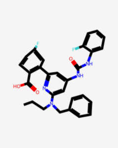 CCCN(Cc1ccccc1)c1cc(NC(=O)Nc2ccccc2F)cc(-c2cc(F)ccc2C(=O)O)n1